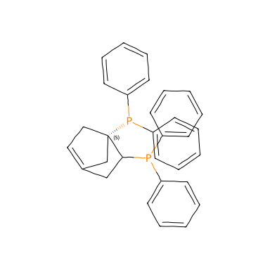 C1=C2CC(P(c3ccccc3)c3ccccc3)[C@](P(c3ccccc3)c3ccccc3)(C1)C2